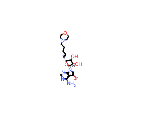 Nc1ncnc2c1c(Br)cn2[C@@H]1O[C@H](/C=C/CCCN2CCOCC2)[C@@H](O)[C@H]1O